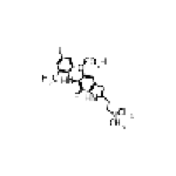 Cc1cc(I)ccc1Nc1c(OC(=O)O)cc2nc(CCN(C)C)[nH]c2c1F